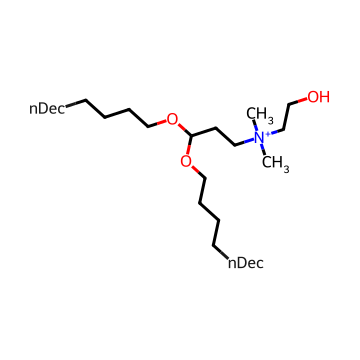 CCCCCCCCCCCCCCOC(CC[N+](C)(C)CCO)OCCCCCCCCCCCCCC